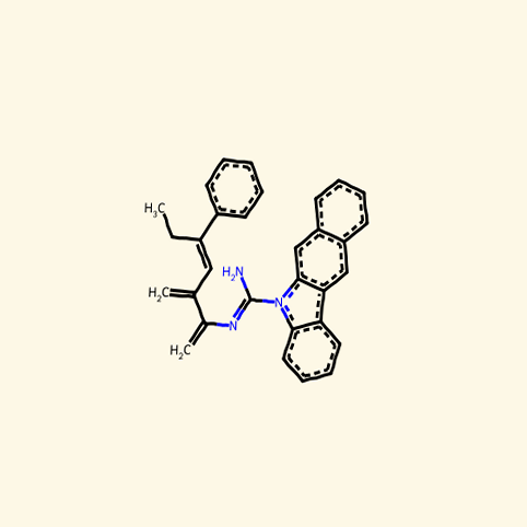 C=C(/C=C(\CC)c1ccccc1)C(=C)/N=C(\N)n1c2ccccc2c2cc3ccccc3cc21